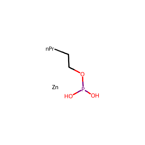 CCCCCOP(O)O.[Zn]